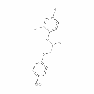 O=Cc1ccc(OCC(=O)Oc2ccc(Cl)cc2Cl)cc1